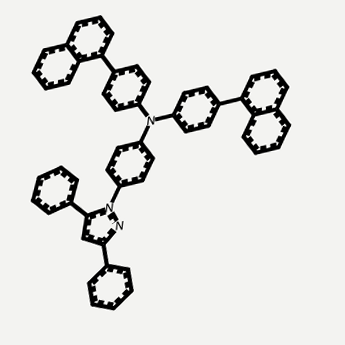 c1ccc(-c2cc(-c3ccccc3)n(-c3ccc(N(c4ccc(-c5cccc6ccccc56)cc4)c4ccc(-c5cccc6ccccc56)cc4)cc3)n2)cc1